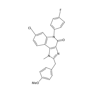 COc1ccc(Cc2nc3c(=O)n(-c4ccc(F)cc4)c4cc(Cl)ccc4c3n2C)cc1